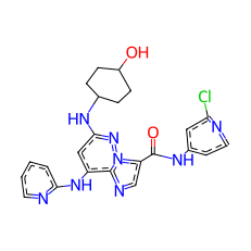 O=C(Nc1ccnc(Cl)c1)c1cnc2c(Nc3ccccn3)cc(NC3CCC(O)CC3)nn12